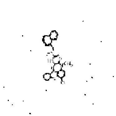 CN1C(=O)C(NC(=S)NCc2cccc3ccccc23)N=C(c2ccccc2Cl)c2cc(Cl)ccc21